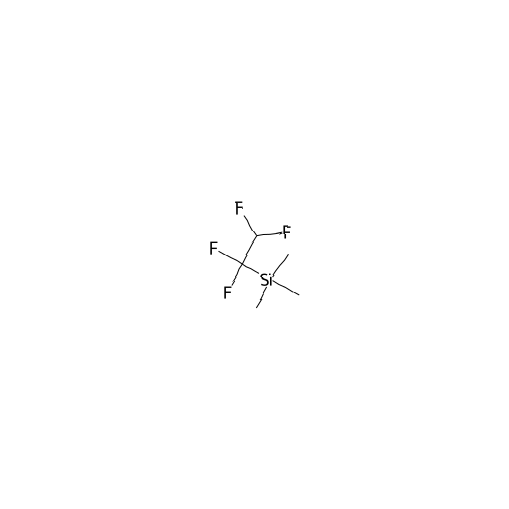 C[Si](C)(C)C(F)(F)C(F)F